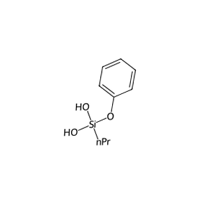 CCC[Si](O)(O)Oc1ccccc1